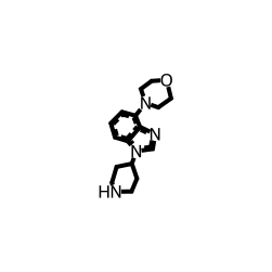 c1cc(N2CCOCC2)c2ncn(C3CCNCC3)c2c1